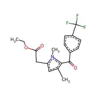 CCOC(=O)Cc1cc(C)c(C(=O)c2ccc(C(F)(F)F)cc2)n1C